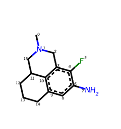 CN1Cc2c(F)c(N)cc3c2C(CCC3)C1